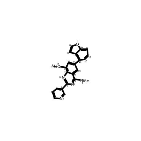 CNc1nc(-c2cccnc2)nc2c(OC)cc(-c3cccc4occc34)cc12